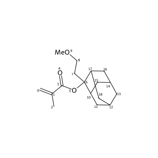 C=C(C)C(=O)OC1(CCOC)C2CC3CC(C2)CC1C3